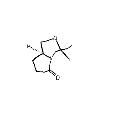 CC1(I)OC[C@@H]2CCC(=O)N21